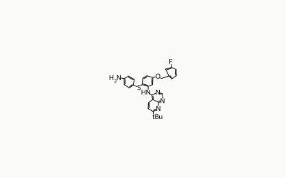 CC(C)(C)c1ccc2c(Nc3cc(OCc4cccc(F)c4)ccc3Sc3ccc(N)cc3)ncnc2n1